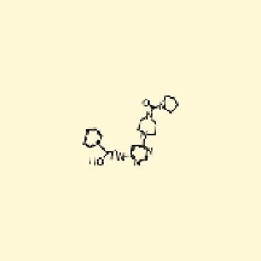 O=C(N1CCCC1)N1CCN(c2cc(NCC(O)c3ccccc3)ncn2)CC1